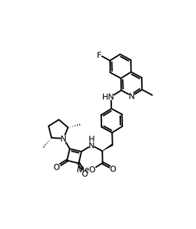 COC(=O)[C@H](Cc1ccc(Nc2nc(C)cc3ccc(F)cc23)cc1)Nc1c(N2[C@H](C)CC[C@@H]2C)c(=O)c1=O